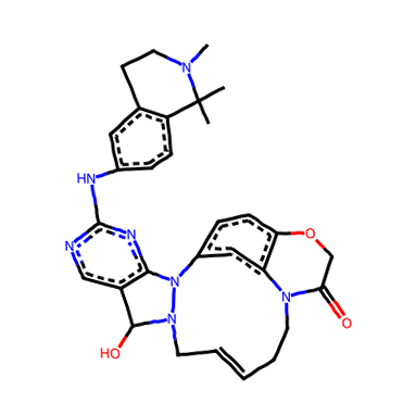 CN1CCc2cc(Nc3ncc4c(n3)N3c5ccc6c(c5)N(CC/C=C/CN3C4O)C(=O)CO6)ccc2C1(C)C